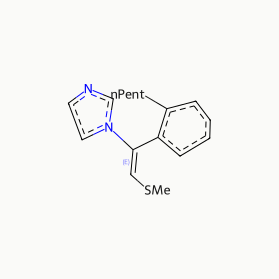 CCCCCc1ccccc1/C(=C\SC)n1ccnc1